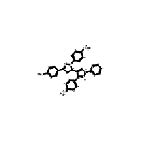 COc1ccc(C2=NN(c3ccc(C(=O)O)cc3)C(c3cn(-c4ccccc4)nc3-c3ccc(C)cc3)C2)cc1